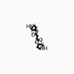 O=C(CCC(=O)OC1CCNCC1)OC1CCNCC1